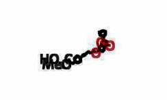 CO[C@@H](Cc1ccc(C#CCCCOc2ccc3c(=O)cc(-c4ccccc4)oc3c2)cc1)C(=O)O